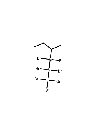 CCC(C)[Si](Br)(Br)[Si](Br)(Br)[Si](Br)(Br)Br